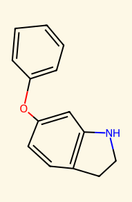 c1ccc(Oc2ccc3c(c2)NCC3)cc1